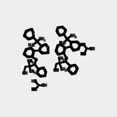 CC(C)(c1ccccc1)c1ccccc1-c1ccccc1OC(c1ccccc1)C(C)(C)CO.CC(C)(c1ccccc1)c1ccccc1-c1ccccc1OC(c1ccccc1)C(C)(C)CO.OP(O)O.OP(O)O